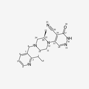 CCc1ncccc1CN1CCN(c2cn[nH]c(=O)c2C#N)[C@H](C)C1